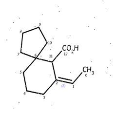 C/C=C1/CCCC2(CCCC2)C1C(=O)O